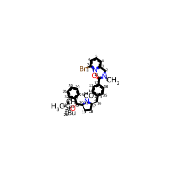 CN(Cc1cccc(Br)n1)C(=O)c1ccc(C[C@H]2CC[C@@H]([C@H](O[Si](C)(C)C(C)(C)C)c3ccccc3)N2C(=O)O)cc1